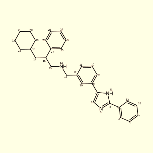 c1ccc(-c2ncc(-c3cccc(CNCC(CC4CCCCC4)c4ccccc4)c3)[nH]2)cc1